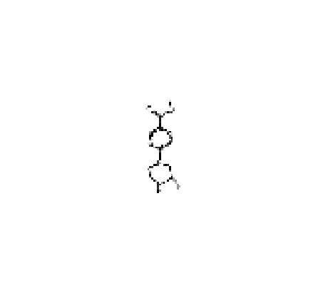 COC(=O)c1ccc(N2CCNC(F)C2)cc1